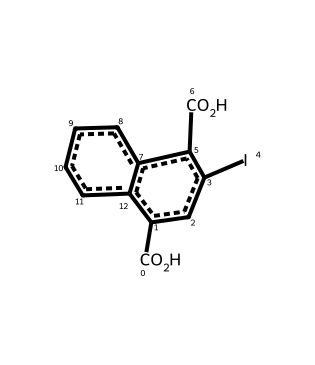 O=C(O)c1cc(I)c(C(=O)O)c2ccccc12